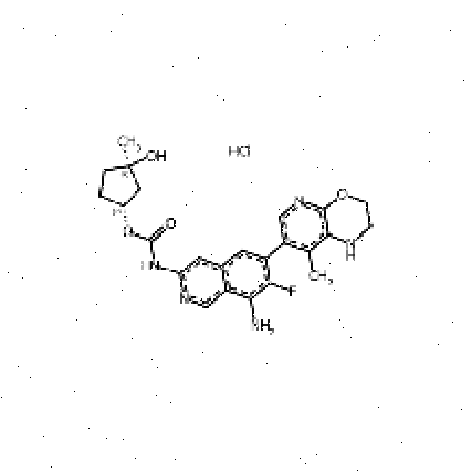 Cc1c(-c2cc3cc(NC(=O)O[C@@H]4CC[C@@](C)(O)C4)ncc3c(N)c2F)cnc2c1NCCO2.Cl